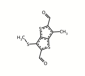 CSc1c(C=O)sc2c(C)c(C=O)sc12